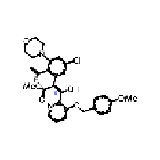 C=C(F)c1c(/C(C(=O)OC)=C(\O)c2ncccc2OCc2ccc(OC)cc2)cc(Cl)cc1N1CCOCC1